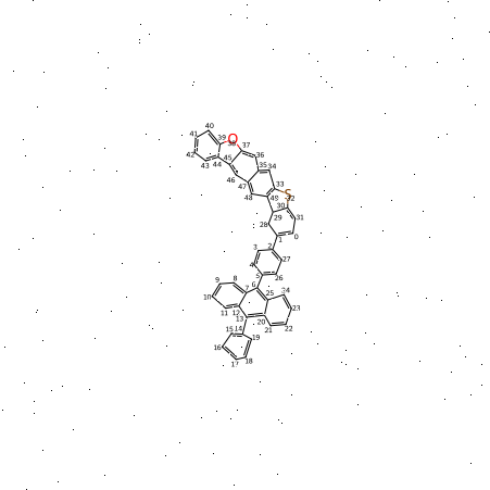 C1=C(c2ccc(-c3c4ccccc4c(-c4ccccc4)c4ccccc34)cc2)CC2C(=C1)Sc1cc3cc4oc5ccccc5c4cc3cc12